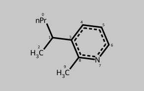 CCCC(C)c1cccnc1C